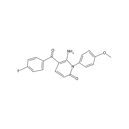 COc1ccc(-n2c(N)c(C(=O)c3ccc(F)cc3)ccc2=O)cc1